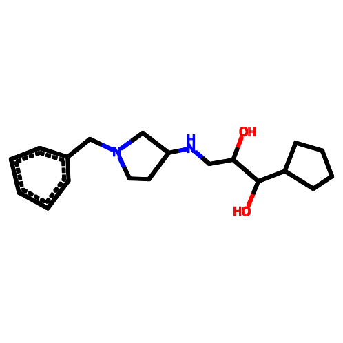 OC(CNC1CCN(Cc2ccccc2)C1)C(O)C1CCCC1